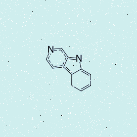 C1=CCC2=c3ccncc3=NC2=C1